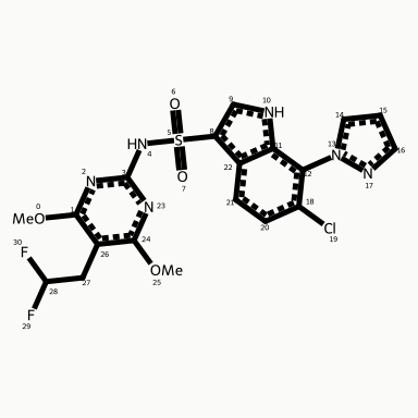 COc1nc(NS(=O)(=O)c2c[nH]c3c(-n4cccn4)c(Cl)ccc23)nc(OC)c1CC(F)F